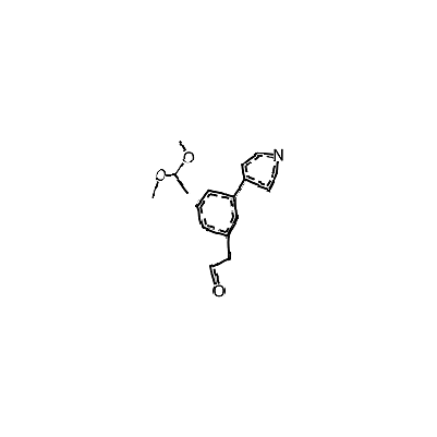 COC(C)OC.O=CCc1cccc(-c2ccncc2)c1